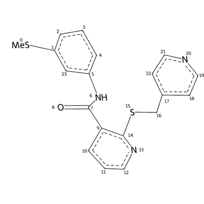 CSc1cccc(NC(=O)c2cccnc2SCc2ccncc2)c1